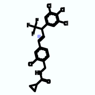 O=C(NCc1ccc(/C=C/C(c2cc(Cl)c(Cl)c(Cl)c2)C(F)(F)F)cc1Cl)C1CC1